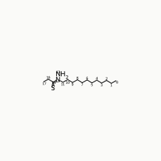 CCCCCCCCCCCCN(N)C(=S)CC